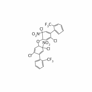 O=[N+]([O-])C1(Cl)C=C(c2ccccc2C(F)(F)F)C(Cl)=CC1OC1C=C(Cl)C(c2ccccc2C(F)(F)F)=CC1(Cl)[N+](=O)[O-]